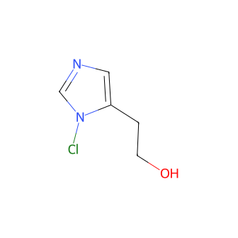 OCCc1cncn1Cl